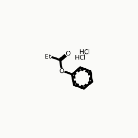 CCC(=O)Oc1ccccc1.Cl.Cl